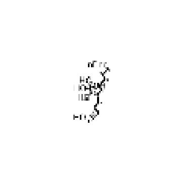 CCCCCCCCCCCCCCCCCCOS(=O)(=O)O.OCC(O)(O)O